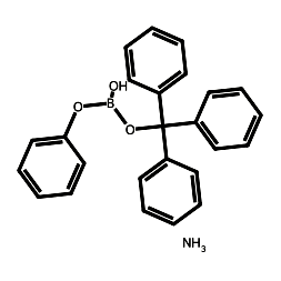 N.OB(Oc1ccccc1)OC(c1ccccc1)(c1ccccc1)c1ccccc1